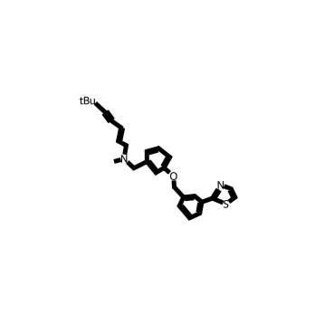 CN(CC=CC#CC(C)(C)C)Cc1cccc(OCc2cccc(-c3nccs3)c2)c1